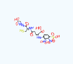 O=C(O)CNC(=O)[C@H](CS)NC(=O)CC[C@H](Nc1ccc(S(=O)(=O)O)c([N+](=O)[O-])c1[N+](=O)[O-])C(=O)O